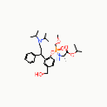 COCP(=O)(N[C@@H](C)C(=O)OC(C)C)Oc1ccc(CO)cc1[C@H](CCN(C(C)C)C(C)C)c1ccccc1